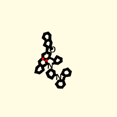 c1cc(N(c2ccccc2-c2cccc3c2oc2cc4ccccc4cc23)c2cccc3ccccc23)cc(-n2c3ccccc3c3ccccc32)c1